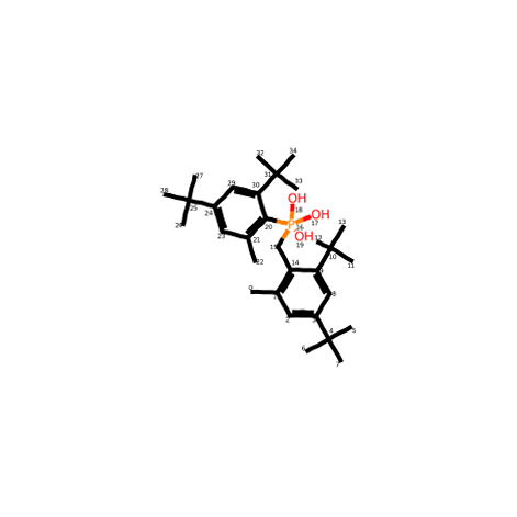 Cc1cc(C(C)(C)C)cc(C(C)(C)C)c1CP(O)(O)(O)c1c(C)cc(C(C)(C)C)cc1C(C)(C)C